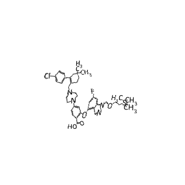 CC1(C)CCC(CN2CCN(c3ccc(C(=O)O)c(Oc4cc(F)cc5c4cnn5COCC[Si](C)(C)C)c3)CC2)=C(c2ccc(Cl)cc2)C1